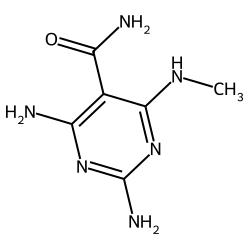 CNc1nc(N)nc(N)c1C(N)=O